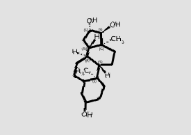 C[C@]12CC[C@H]3[C@@H](CCC4CC(O)CC[C@@]43C)[C@@H]1C[C@H](O)[C@H]2O